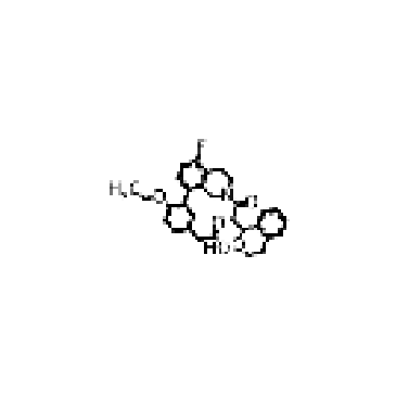 CCOc1ccc(CC(=O)O)cc1-c1ccc(F)c2c1CN(C(=O)CC1OCCc3ccccc31)CC2